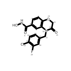 O=C(NO)c1ccc2c(c1)N(Cc1ccc(Cl)c(F)c1)C(=O)CO2